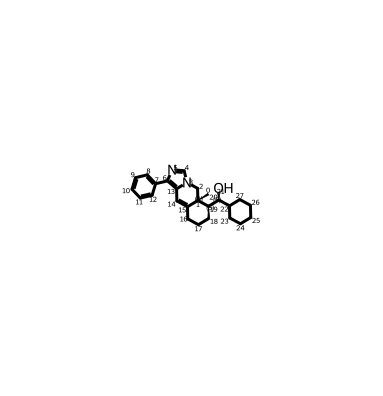 C[C@]12Cn3cnc(-c4ccccc4)c3C=C1CCC[C@@H]2[C@@H](O)C1CCCCC1